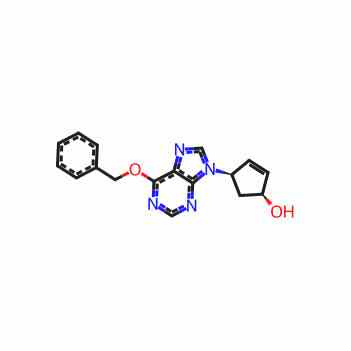 O[C@@H]1C=C[C@H](n2cnc3c(OCc4ccccc4)ncnc32)C1